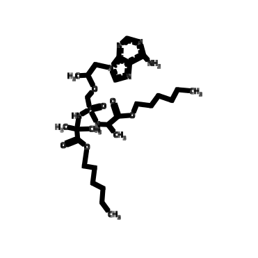 CCCCCCOC(=O)C(C)NP(=O)(COC(C)Cn1cnc2c(N)ncnc21)NC(C)(C)C(=O)OCCCCCC